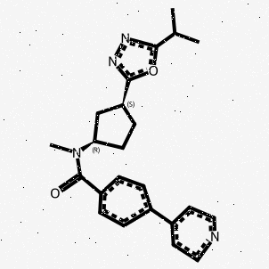 CC(C)c1nnc([C@H]2CC[C@@H](N(C)C(=O)c3ccc(-c4ccncc4)cc3)C2)o1